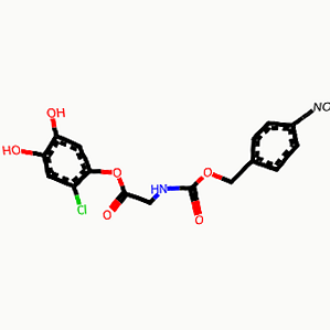 O=C(CNC(=O)OCc1ccc([N+](=O)[O-])cc1)Oc1cc(O)c(O)cc1Cl